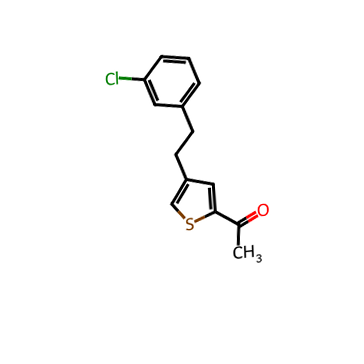 CC(=O)c1cc(CCc2cccc(Cl)c2)cs1